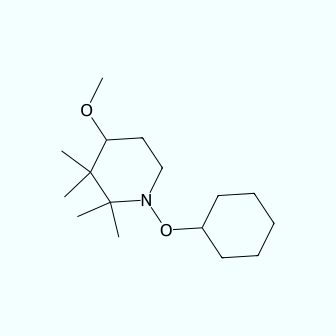 COC1CCN(OC2CCCCC2)C(C)(C)C1(C)C